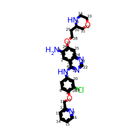 Nc1cc2c(Nc3ccc(OCc4ccccn4)c(Cl)c3)ncnc2cc1OCCC1COCCN1